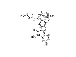 CNC(=O)c1c(-c2ccc(F)cc2)oc2cc(N(C)S(C)(=O)=O)c(C(O)CNCCO)cc12